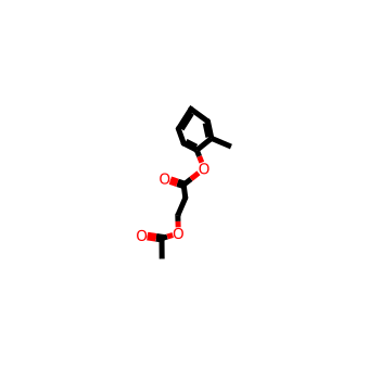 CC(=O)OCCC(=O)Oc1ccccc1C